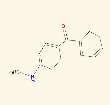 O=CNC1=CC=C(C(=O)C2=CC=CCC2)CC1